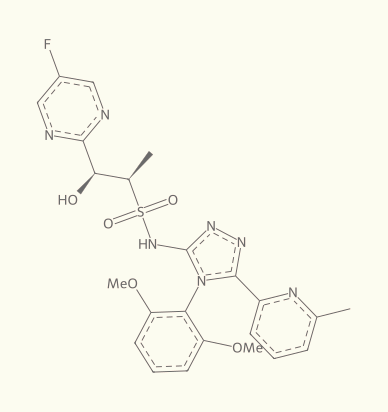 COc1cccc(OC)c1-n1c(NS(=O)(=O)[C@H](C)[C@@H](O)c2ncc(F)cn2)nnc1-c1cccc(C)n1